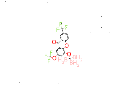 BC(B)(B)Oc1cc(OC(F)(F)F)ccc1Oc1ccc(C(F)(F)F)cc1C=O